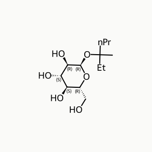 CCCC(C)(CC)O[C@H]1O[C@H](CO)[C@@H](O)[C@H](O)[C@H]1O